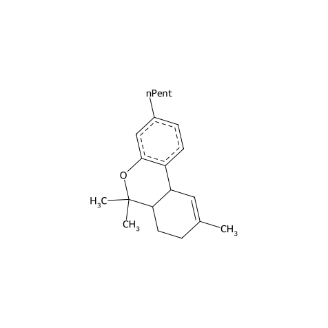 CCCCCc1ccc2c(c1)OC(C)(C)C1CCC(C)=CC21